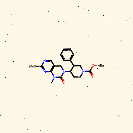 CSc1ncc2c(n1)N(C)C(=O)N(C1CCN(C(=O)OC(C)(C)C)CC1c1ccccc1)C2